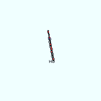 CCCCCCCCC/C(C)=N/OCCOCCOCCOCCOCCOCCOCCOCCOCCO